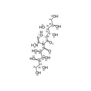 NC(=S)N(C(=O)[C@H](O)[C@@H](O)[C@H](O)[C@H](O)CO)C(=O)[C@H](O)[C@@H](O)[C@H](O)[C@H](O)CO